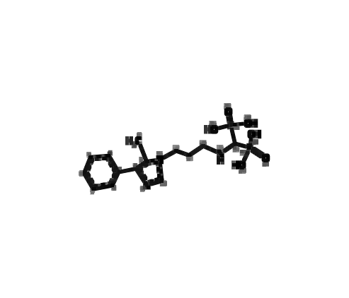 Cc1c(-c2ccccc2)ncn1CCCNC(P(=O)(O)O)P(=O)(O)O